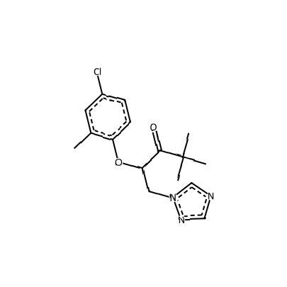 Cc1cc(Cl)ccc1OC(Cn1cncn1)C(=O)C(C)(C)C